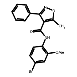 COc1cc(Br)ccc1NC(=O)c1c(-c2ccccc2)noc1C